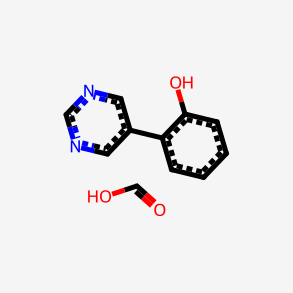 O=CO.Oc1ccccc1-c1cncnc1